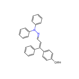 COc1ccc(C(=CC=NN(c2ccccc2)c2ccccc2)c2ccccc2)cc1